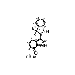 CCCCOc1cccc2c(C3Nc4ccccc4C3(C)C)c[nH]c12